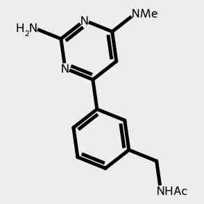 CNc1cc(-c2cccc(CNC(C)=O)c2)nc(N)n1